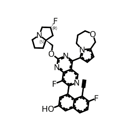 C#Cc1c(F)ccc2cc(O)cc(-c3ncc4c(-c5ccc6n5CCCOC6)nc(OC[C@@]56CCCN5C[C@H](F)C6)nc4c3F)c12